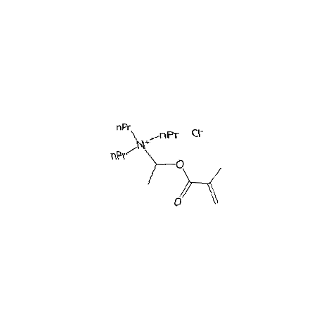 C=C(C)C(=O)OC(C)[N+](CCC)(CCC)CCC.[Cl-]